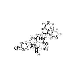 Cl.Cl.NCCC(=O)NCC(CCCN1CCC(O)(c2ccc(Cl)cc2)CC1)(c1ccccc1)c1ccccc1